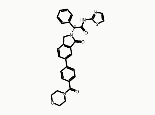 O=C(Nc1nccs1)[C@@H](c1ccccc1)N1Cc2ccc(-c3ccc(C(=O)N4CCOCC4)cc3)cc2C1=O